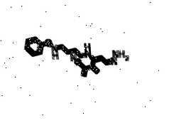 C=C(C#N)C(=C)/C(=C\C=N/N)NCCCCNOc1ccccc1